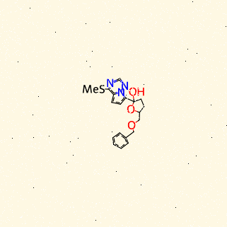 CSc1ncnn2c(C3(O)CCC(COCc4ccccc4)O3)ccc12